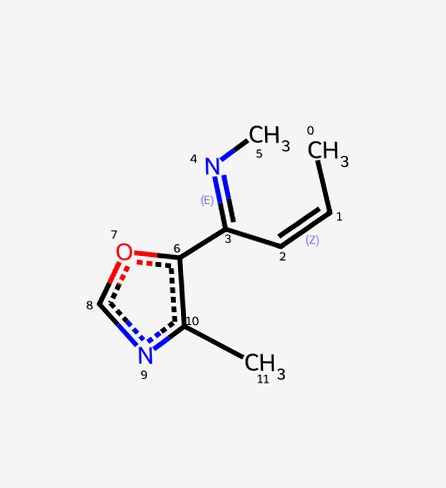 C/C=C\C(=N/C)c1ocnc1C